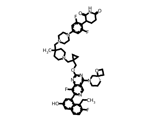 CCc1c(F)ccc2cc(O)cc(-c3ncc4c(N5CCC[C@]6(CCO6)C5)nc(OCC5(CN6CCC(C)(CN7CCN(c8cc(F)c(C9CCC(=O)NC9=O)c(F)c8)CC7)CC6)CC5)nc4c3F)c12